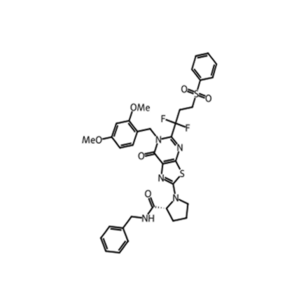 COc1ccc(Cn2c(C(F)(F)CCS(=O)(=O)c3ccccc3)nc3sc(N4CCC[C@@H]4C(=O)NCc4ccccc4)nc3c2=O)c(OC)c1